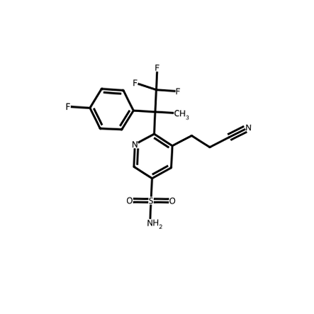 CC(c1ccc(F)cc1)(c1ncc(S(N)(=O)=O)cc1CCC#N)C(F)(F)F